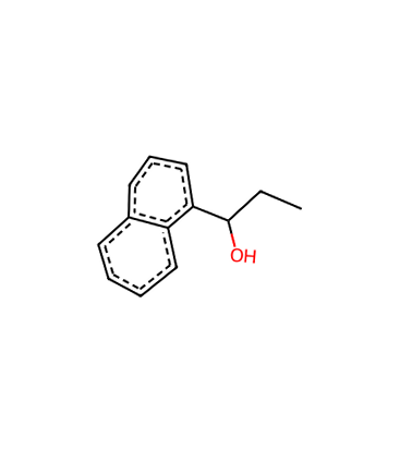 CCC(O)c1cccc2ccccc12